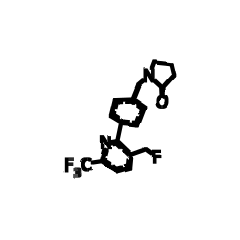 O=C1CCCN1Cc1ccc(-c2nc(C(F)(F)F)ccc2CF)cc1